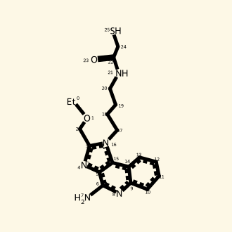 CCOCc1nc2c(N)nc3ccccc3c2n1CCCCNC(=O)CS